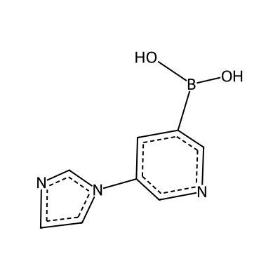 OB(O)c1cncc(-n2ccnc2)c1